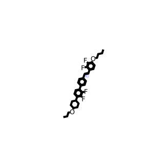 CCCCOc1ccc(/C=C/c2ccc(-c3ccc(C4CCC(OCCC)CC4)c(F)c3F)cc2)c(F)c1F